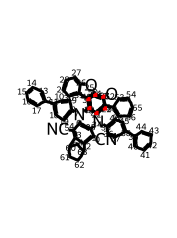 N#Cc1c2c(c(C#N)c(N(c3ccc(-c4ccccc4)cc3)c3cccc4oc5ccccc5c34)c1N(c1ccc(-c3ccccc3)cc1)c1cccc3oc4ccccc4c13)C1CCC2C1